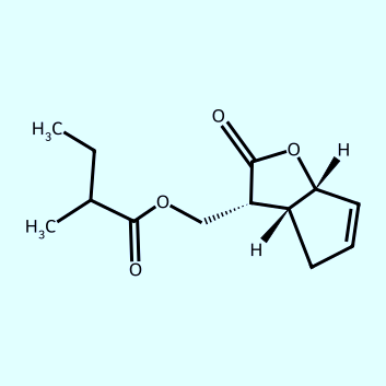 CCC(C)C(=O)OC[C@@H]1C(=O)O[C@@H]2C=CC[C@H]12